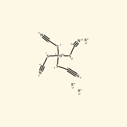 N#C[S][Pd-3]([S]C#N)([S]C#N)[S]C#N.[K+].[K+].[K+]